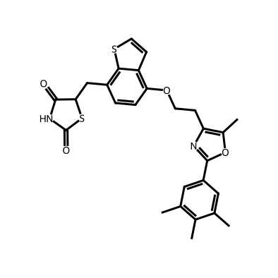 Cc1cc(-c2nc(CCOc3ccc(CC4SC(=O)NC4=O)c4sccc34)c(C)o2)cc(C)c1C